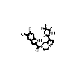 C[C@@H](NC(=O)c1cnn2c1CN(C(=O)c1cc3cc(Cl)c(F)cc3[nH]1)CC2)C(F)(F)F